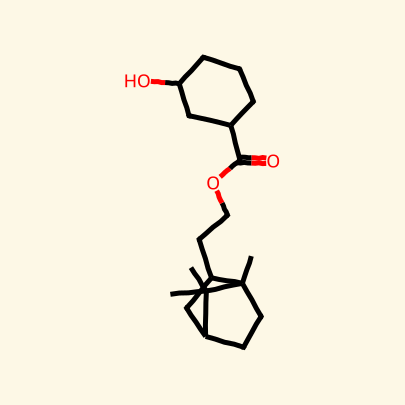 CC1(C)C2CCC1(C)C(CCOC(=O)C1CCCC(O)C1)C2